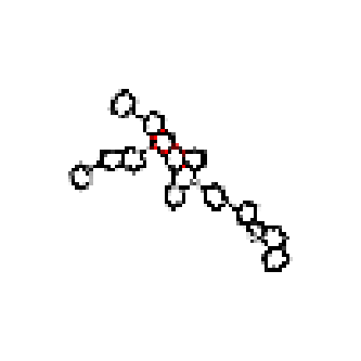 c1ccc(-c2cccc(N(c3cccc(-c4ccccc4N(c4ccc(-c5ccc6c(c5)oc5c7ccccc7ccc65)cc4)c4cccc(-c5ccccc5)c4)c3)c3ccc4cc(-c5ccccc5)ccc4c3)c2)cc1